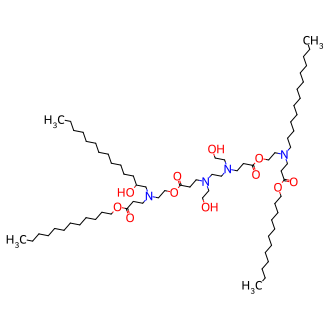 CCCCCCCCCCCCCCN(CCOC(=O)CCN(CCO)CCN(CCO)CCC(=O)OCCN(CCC(=O)OCCCCCCCCCCCC)CC(O)CCCCCCCCCCCC)CCC(=O)OCCCCCCCCCCCC